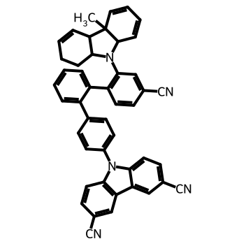 CC12C=CC=CC1N(c1cc(C#N)ccc1-c1ccccc1-c1ccc(-n3c4ccc(C#N)cc4c4cc(C#N)ccc43)cc1)C1CCC=CC12